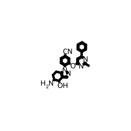 Cc1nc(Oc2cc(C#N)ccc2-n2ncc3c2CCC(N)C3O)cc(-c2ccccc2)n1